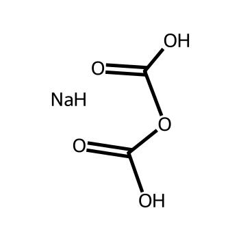 O=C(O)OC(=O)O.[NaH]